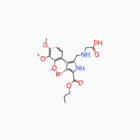 CCCOC(=O)c1[nH]c(CNCC(=O)O)c(-c2ccc(OC)c(OC)c2OC)c1Br